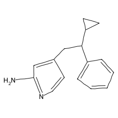 Nc1cc(CC(c2ccccc2)C2CC2)ccn1